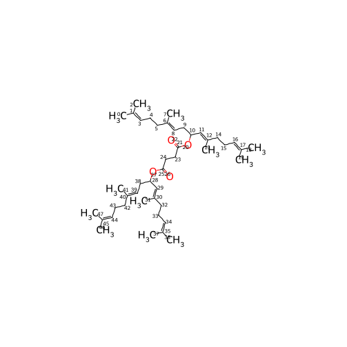 CC(C)=CCC/C(C)=C/CC(/C=C(\C)CCC=C(C)C)OC(=O)CCC(=O)OC(/C=C(\C)CCC=C(C)C)C/C=C(\C)CCC=C(C)C